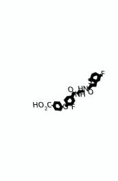 O=C(NCCNC(=O)c1cc2cc(F)ccc2s1)c1ccc(O[C@H]2CC[C@@H](C(=O)O)CC2)c(F)c1